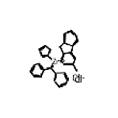 Cc1cc2c([c]([Zr+2]([C]3=CC=CC3)=[C](c3ccccc3)c3ccccc3)c1)Cc1ccccc1-2.[Cl-].[Cl-]